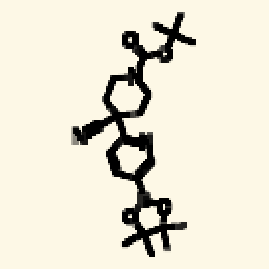 CC(C)(C)OC(=O)N1CCC(C#N)(c2ccc(B3OC(C)(C)C(C)(C)O3)cn2)CC1